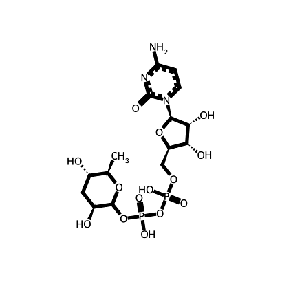 C[C@H]1OC(OP(=O)(O)OP(=O)(O)OC[C@H]2O[C@@H](n3ccc(N)nc3=O)[C@H](O)[C@@H]2O)[C@@H](O)C[C@@H]1O